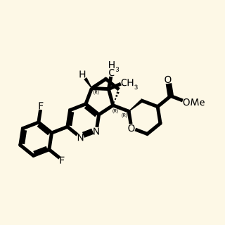 COC(=O)C1CCO[C@@H]([C@@]23CC[C@@H](c4cc(-c5c(F)cccc5F)nnc42)C3(C)C)C1